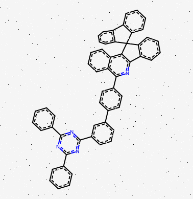 c1ccc(-c2nc(-c3ccccc3)nc(-c3cccc(-c4ccc(-c5nc6c(c7ccccc57)C5(c7ccccc7-c7ccccc75)c5ccccc5-6)cc4)c3)n2)cc1